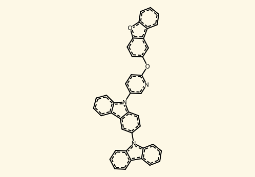 c1ccc2c(c1)oc1ccc(Oc3ccc(-n4c5ccccc5c5cc(-n6c7ccccc7c7ccccc76)ccc54)cn3)cc12